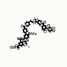 [2H]C([2H])(OCCC1CCN(C(=O)C2CCC(c3cc4c(N[C@H](C)c5cc(C(=O)OC(C)(C)C)cc(C(F)(F)F)c5)nc(C)nc4cc3OC)CC2)CC1)C1CCN(C(=O)c2ccc(Cl)c(N3CCC(=O)NC3=O)c2)CC1